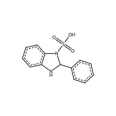 O=S(=O)(O)N1c2ccccc2NC1c1ccccc1